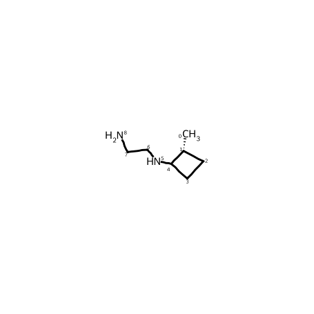 C[C@@H]1CCC1NCCN